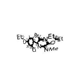 CCOc1ccc(-c2nc(NC)c(OC(CC)CC)nc2Br)c(Cl)c1